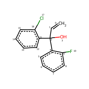 C=CC(O)(c1ccccc1F)c1ccccc1Cl